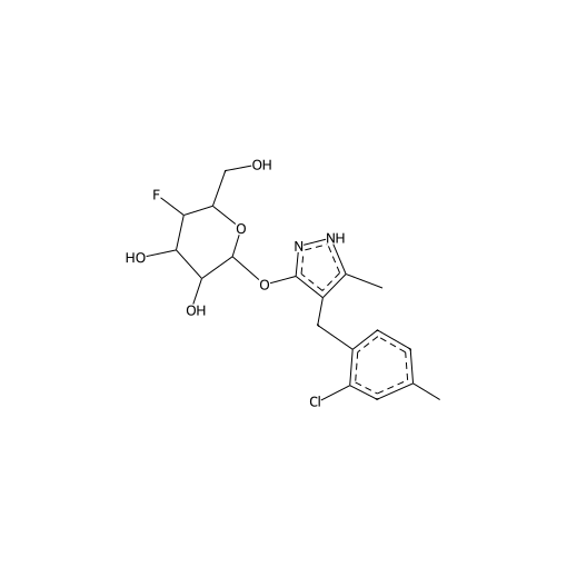 Cc1ccc(Cc2c(OC3OC(CO)C(F)C(O)C3O)n[nH]c2C)c(Cl)c1